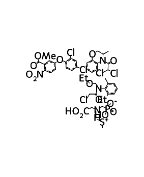 CC1COc2ccccc2N1C(=O)C(Cl)Cl.CCOCN(C(=O)CCl)c1c(C)cccc1CC.COC(=O)c1cc(Oc2ccc(Cl)cc2Cl)ccc1[N+](=O)[O-].C[S+](C)C.O=C(O)CNCP(=O)([O-])O